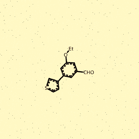 CCOc1cc(C=O)cc(-c2ccsc2)c1